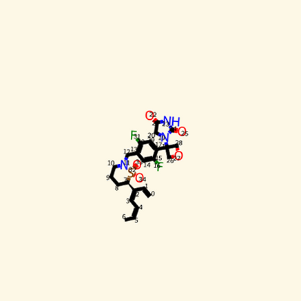 C=C/C(=C\C=C/C)[C@H]1CCCN(Cc2cc(F)c(C3(N4CC(=O)NC4=O)COC3)cc2F)S1(=O)=O